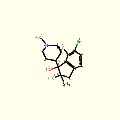 Cc1c(Br)ccc2c1C(O)(C1CCN(C)CC1)C(C)(C)C2